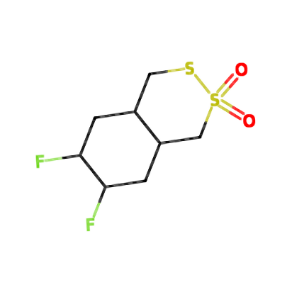 O=S1(=O)CC2CC(F)C(F)CC2CS1